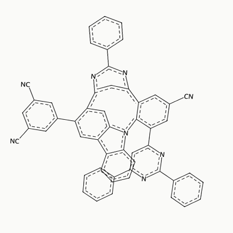 N#Cc1cc(C#N)cc(-c2cc3c4ccccc4n4c3cc2c2cc(nc(-c3ccccc3)n2)c2cc(C#N)cc(-c3cc(-c5ccccc5)nc(-c5ccccc5)n3)c24)c1